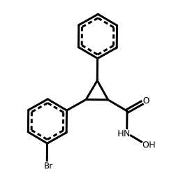 O=C(NO)C1C(c2ccccc2)C1c1cccc(Br)c1